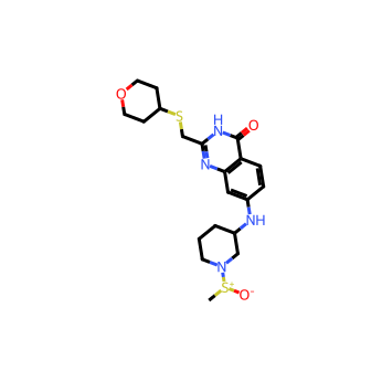 C[S+]([O-])N1CCCC(Nc2ccc3c(=O)[nH]c(CSC4CCOCC4)nc3c2)C1